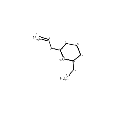 C=CCC1CCCC(CC(=O)O)O1